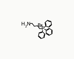 NCCCCP(Br)(c1ccccc1)(c1ccccc1)c1ccccc1